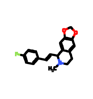 CN1CCc2cc3c(cc2C1C=Cc1ccc(F)cc1)OCO3